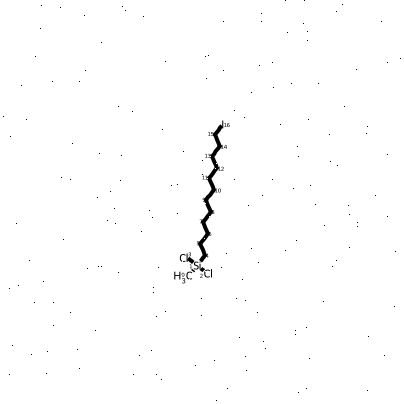 C[Si](Cl)(Cl)CCCCCCCCCCCCI